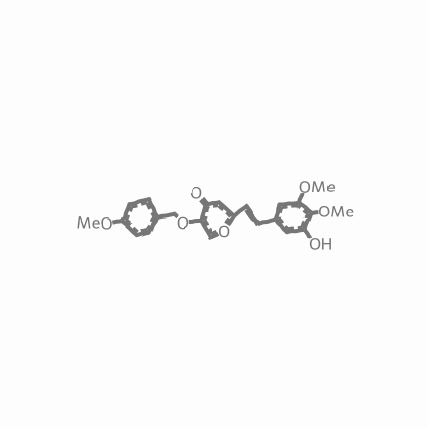 COc1ccc(COc2coc(/C=C/c3cc(O)c(OC)c(OC)c3)cc2=O)cc1